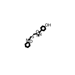 Oc1ccc(-c2nnc(CSCc3nc4ccccc4o3)o2)cc1